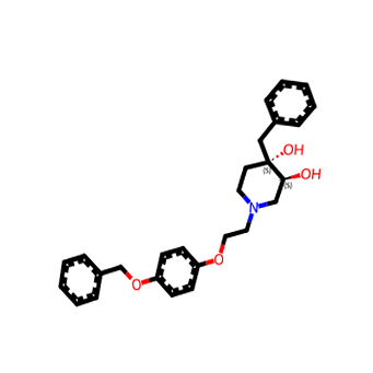 O[C@H]1CN(CCOc2ccc(OCc3ccccc3)cc2)CC[C@@]1(O)Cc1ccccc1